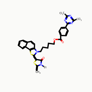 C=c1s/c(=C2\Sc3c(ccc4ccccc34)N2CCCCCOC(=O)c2ccc(-c3nc(C(Cl)(Cl)Cl)nc(C(Cl)(Cl)Cl)n3)cc2)c(=O)n1CC